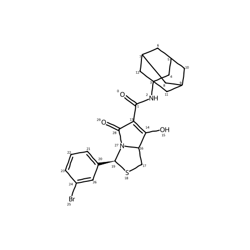 O=C(NC12CC3CC(CC(C3)C1)C2)C1=C(O)C2CS[C@@H](c3cccc(Br)c3)N2C1=O